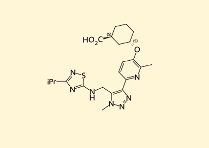 Cc1nc(-c2nnn(C)c2CNc2nc(C(C)C)ns2)ccc1O[C@H]1CCC[C@H](C(=O)O)C1